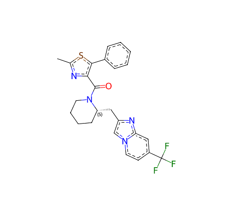 Cc1nc(C(=O)N2CCCC[C@H]2Cc2cn3ccc(C(F)(F)F)cc3n2)c(-c2ccccc2)s1